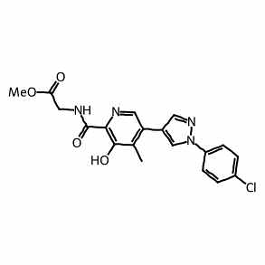 COC(=O)CNC(=O)c1ncc(-c2cnn(-c3ccc(Cl)cc3)c2)c(C)c1O